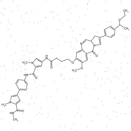 CCOC(C)c1ccc(C2=CN3C(=O)c4cc(OC)c(OCCCC(=O)Nc5cc(C(=O)Nc6ccc(-c7cc(C(=O)NC)n(C)c7)cc6)n(C)c5)cc4N=CC3C2)cc1